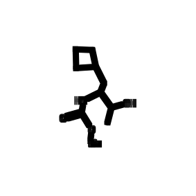 CC(O)C(CC1CCC1)NC(=O)OC(C)(C)C